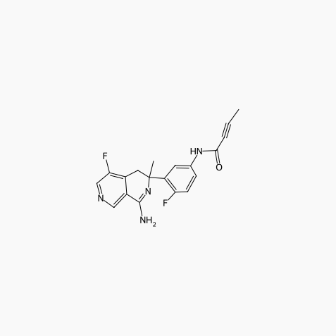 CC#CC(=O)Nc1ccc(F)c(C2(C)Cc3c(F)cncc3C(N)=N2)c1